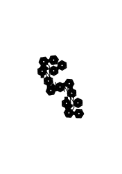 Cc1ccc2c(oc3c(-c4ccccc4)cccc32)c1N(c1ccccc1)c1ccc2c3cccc4c5cc6c(cc5n(c2c1)c34)c1cccc2c3ccc(N(c4ccc(-c5ccccc5)cc4)c4c(C)ccc5c4oc4c(-c7ccccc7)cccc45)cc3n6c21